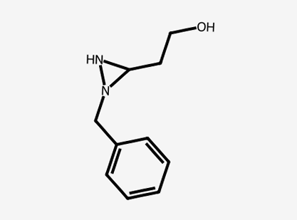 OCCC1NN1Cc1ccccc1